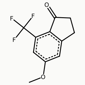 COc1cc2c(c(C(F)(F)F)c1)C(=O)CC2